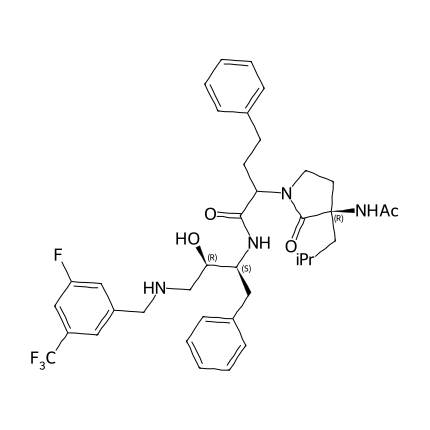 CC(=O)N[C@]1(CC(C)C)CCN(C(CCc2ccccc2)C(=O)N[C@@H](Cc2ccccc2)[C@H](O)CNCc2cc(F)cc(C(F)(F)F)c2)C1=O